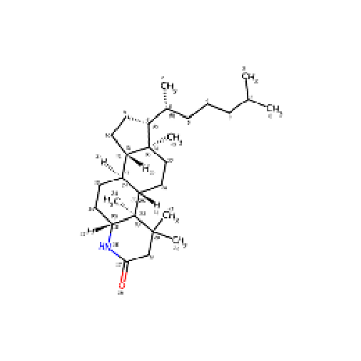 CC(C)CCC[C@@H](C)[C@H]1CC[C@H]2[C@@H]3CC[C@H]4NC(=O)CC(C)(C)[C@]4(C)[C@H]3CC[C@]12C